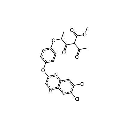 COC(=O)C(C(C)=O)C(=O)C(C)Oc1ccc(Oc2cnc3cc(Cl)c(Cl)cc3n2)cc1